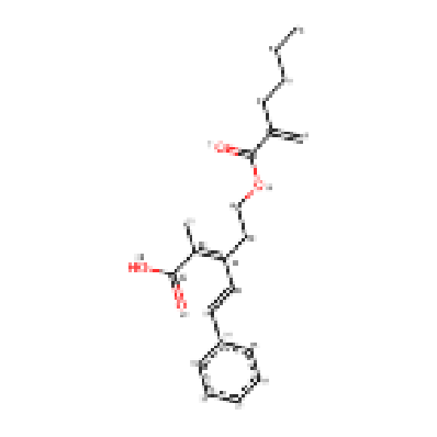 C=C(CCCC)C(=O)OCCC(C=Cc1ccccc1)=C(C)C(=O)O